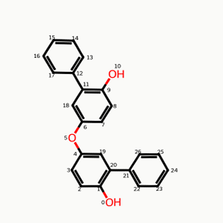 Oc1ccc(Oc2ccc(O)c(-c3ccccc3)c2)cc1-c1ccccc1